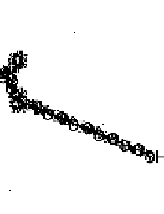 OCCOCCOCCOCCOCCOCCOCCOCCOCCOCCN1CCCc2cc(/N=N/c3scc[n+]3Cc3ccccc3)ccc21